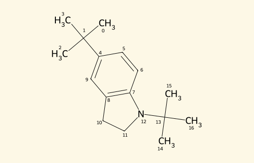 CC(C)(C)c1ccc2c(c1)CCN2C(C)(C)C